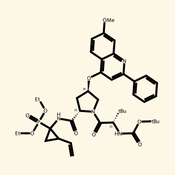 C=CC1CC1(NC(=O)[C@@H]1C[C@@H](Oc2cc(-c3ccccc3)nc3cc(OC)ccc23)CN1C(=O)[C@@H](NC(=O)OC(C)(C)C)C(C)(C)C)P(=O)(OCC)OCC